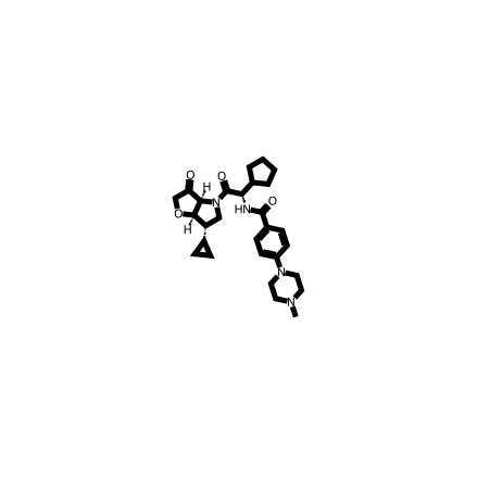 CN1CCN(c2ccc(C(=O)N[C@H](C(=O)N3C[C@H](C4CC4)[C@H]4OCC(=O)[C@H]43)C3CCCC3)cc2)CC1